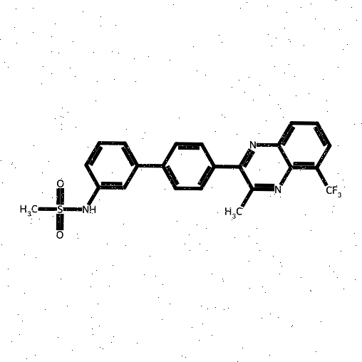 Cc1nc2c(C(F)(F)F)cccc2nc1-c1ccc(-c2cccc(NS(C)(=O)=O)c2)cc1